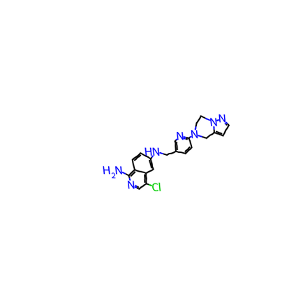 Nc1ncc(Cl)c2cc(NCc3ccc(N4CCn5nccc5C4)nc3)ccc12